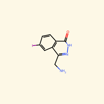 NCc1n[nH]c(=O)c2ccc(I)cc12